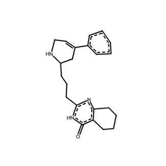 O=c1[nH]c(CCCC2CC(c3ccccc3)=CCN2)nc2c1CCCC2